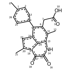 Cc1ccc(-c2c(CC(=O)O)c(C)c3[nH]c(=O)c(=O)n4c(C)cc2c34)cc1